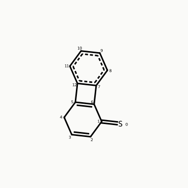 S=C1C=CCC2=C1c1ccccc12